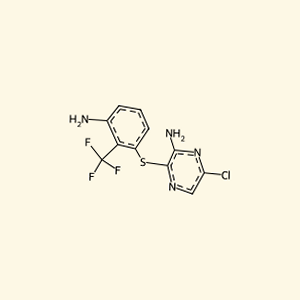 Nc1cccc(Sc2ncc(Cl)nc2N)c1C(F)(F)F